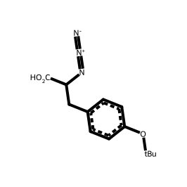 CC(C)(C)Oc1ccc(CC(N=[N+]=[N-])C(=O)O)cc1